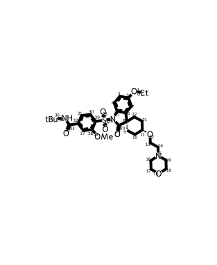 CCOc1ccc2c(c1)[C@]1(CC[C@@H](OCCN3CCOCC3)CC1)C(=O)N2S(=O)(=O)c1ccc(C(=O)NC(C)(C)C)cc1OC